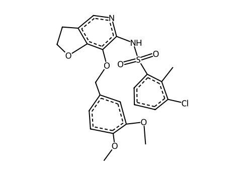 COc1ccc(COc2c(NS(=O)(=O)c3cccc(Cl)c3C)ncc3c2OCC3)cc1OC